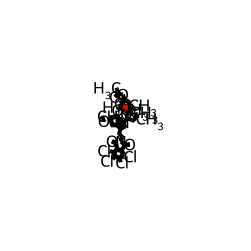 COc1ccc2c(c1)c(CCN1C(=O)c3c(Cl)c(Cl)c(Cl)c(Cl)c3C1=O)cn2C(CC(C)C)OOC(C)(C)CC(OC(C)=O)OC(C)=O